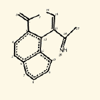 C=C(C)c1ccc2ccccc2c1/C(=C\C)C(C)=N